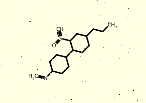 C#S(=O)C1CC(CCC)CCC1C1CCC(N=C)CC1